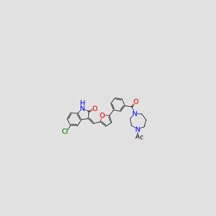 CC(=O)N1CCCN(C(=O)c2cccc(-c3ccc(C=C4C(=O)Nc5ccc(Cl)cc54)o3)c2)CC1